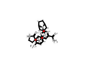 NC(=O)c1cc(N[C@H]2CCNC2=O)nc(N2C3CCC2CC(Oc2ccc(C(F)(F)F)cc2)C3)n1